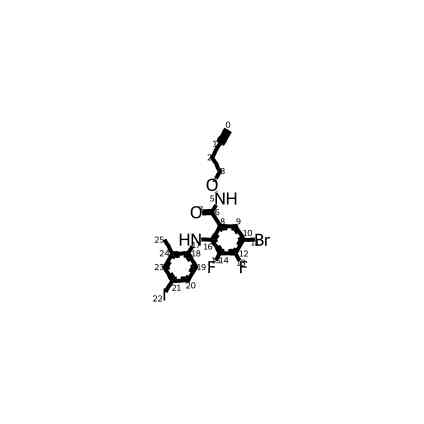 C#CCCONC(=O)c1cc(Br)c(F)c(F)c1Nc1ccc(I)cc1C